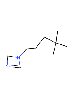 CC(C)(C)CCCN1C=NC1